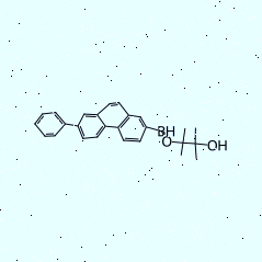 CC(C)(O)C(C)(C)OBc1ccc2c(ccc3cc(-c4ccccc4)ccc32)c1